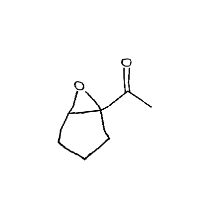 CC(=O)C12CCCC1O2